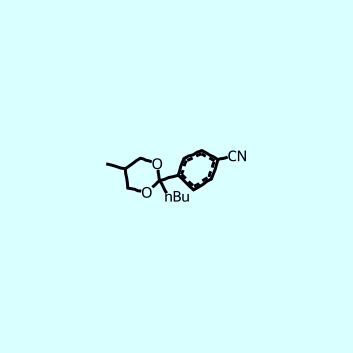 CCCCC1(c2ccc(C#N)cc2)OCC(C)CO1